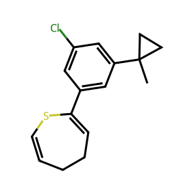 CC1(c2cc(Cl)cc(C3=CCCC=CS3)c2)CC1